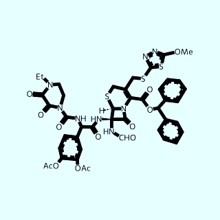 CCN1CCN(C(=O)NC(C(=O)N[C@]2(NC=O)C(=O)N3C(C(=O)OC(c4ccccc4)c4ccccc4)=C(CSc4nnc(OC)s4)CS[C@@H]32)c2ccc(OC(C)=O)c(OC(C)=O)c2)C(=O)C1=O